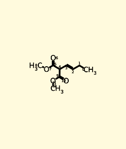 CC/C=C/C(C(=O)OC)C(=O)OC